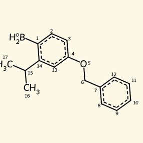 Bc1ccc(OCc2ccccc2)cc1C(C)C